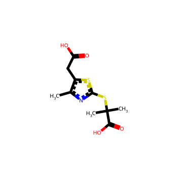 Cc1nc(SC(C)(C)C(=O)O)sc1CC(=O)O